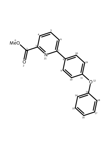 COC(=O)c1cccc(-c2ccc(Oc3ccccc3)cc2)n1